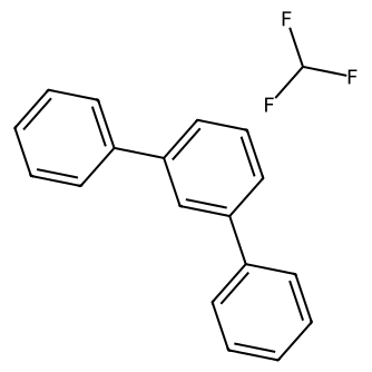 FC(F)F.c1ccc(-c2cccc(-c3ccccc3)c2)cc1